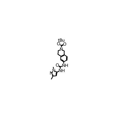 Cc1cc(NC(=O)Nc2ccc3c(c2)CCN(C(=O)OC(C)(C)C)C3)n(C)n1